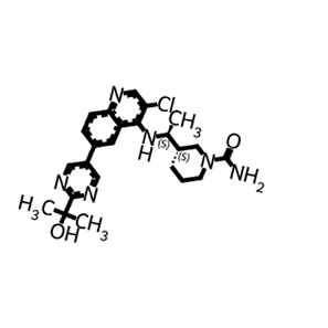 C[C@H](Nc1c(Cl)cnc2ccc(-c3cnc(C(C)(C)O)nc3)cc12)[C@H]1CCCN(C(N)=O)C1